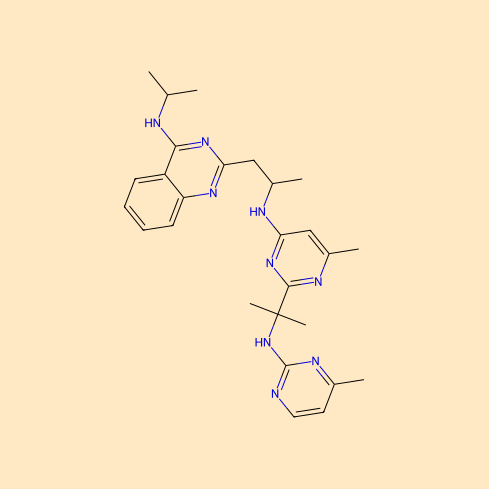 Cc1ccnc(NC(C)(C)c2nc(C)cc(NC(C)Cc3nc(NC(C)C)c4ccccc4n3)n2)n1